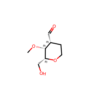 CO[C@@H]1[C@H](C=O)CCO[C@@H]1CO